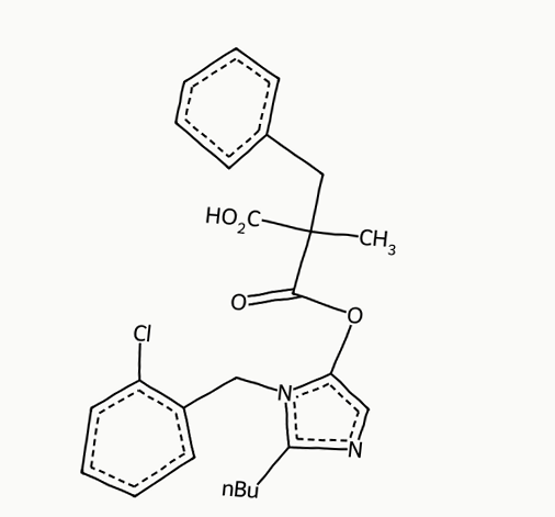 CCCCc1ncc(OC(=O)C(C)(Cc2ccccc2)C(=O)O)n1Cc1ccccc1Cl